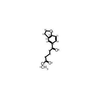 COC(=O)CCCC(=O)c1ccc2c(c1)CCO2